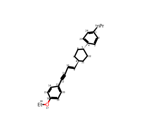 CCCc1ccc([C@H]2CC[C@H](C=CC#Cc3ccc(OCC)cc3)CC2)cc1